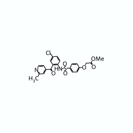 COC(=O)COc1ccc(S(=O)(=O)Nc2ccc(Cl)cc2C(=O)c2ccnc(C)c2)cc1